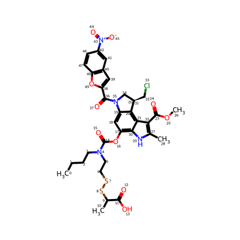 CCCCN(CCSSC(C)C(=O)O)C(=O)Oc1cc2c(c3c(C(=O)OC)c(C)[nH]c13)[C@H](CCl)CN2C(=O)c1cc2cc([N+](=O)[O-])ccc2o1